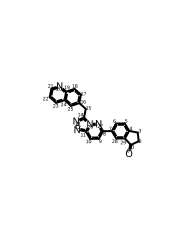 O=C1CCc2ccc(-c3ccc4nnc(Cc5ccc6ncccc6c5)n4n3)cc21